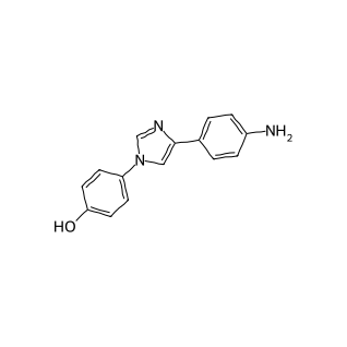 Nc1ccc(-c2cn(-c3ccc(O)cc3)cn2)cc1